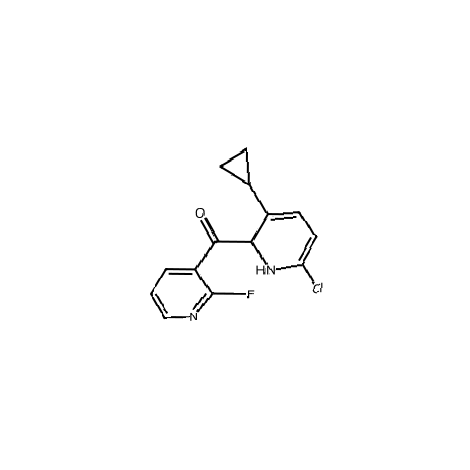 O=C(c1cccnc1F)C1NC(Cl)=CC=C1C1CC1